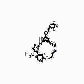 Cc1cnc2nc1-c1ccnc(c1)CCC/C=C/COCc1cc(cc(OCCn3ccnc3)c1)N2